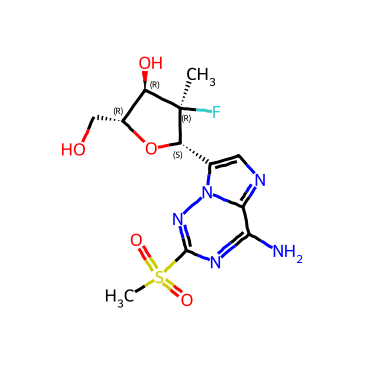 C[C@@]1(F)[C@H](O)[C@@H](CO)O[C@H]1c1cnc2c(N)nc(S(C)(=O)=O)nn12